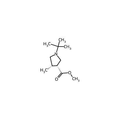 COC(=O)[C@H]1CN(C(C)(C)C)C[C@H]1C